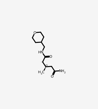 C[C@@H]([CH]C(=O)NCC1CCOCC1)CC(N)=O